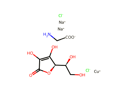 NCC(=O)[O-].O=C1O[C@H]([C@@H](O)CO)C(O)=C1O.[Cl-].[Cl-].[Cu+].[Na+].[Na+]